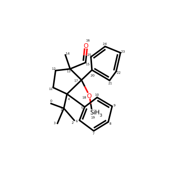 CC(C)(C)C1(c2ccccc2)CCC(C)(C=O)C1(O[SiH3])c1ccccc1